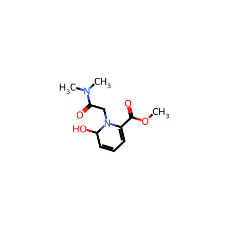 COC(=O)C1=CC=CC(O)N1CC(=O)N(C)C